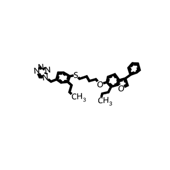 CCCc1cc(Cn2cnnn2)ccc1SCCCCOc1ccc2c(-c3ccccc3)coc2c1CCC